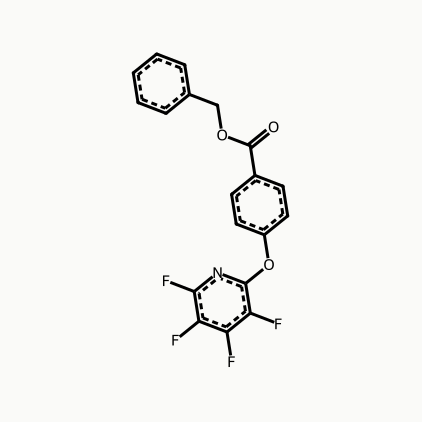 O=C(OCc1ccccc1)c1ccc(Oc2nc(F)c(F)c(F)c2F)cc1